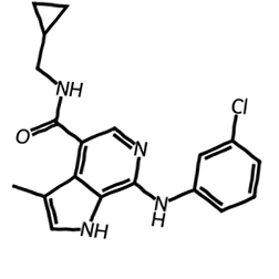 Cc1c[nH]c2c(Nc3cccc(Cl)c3)ncc(C(=O)NCC3CC3)c12